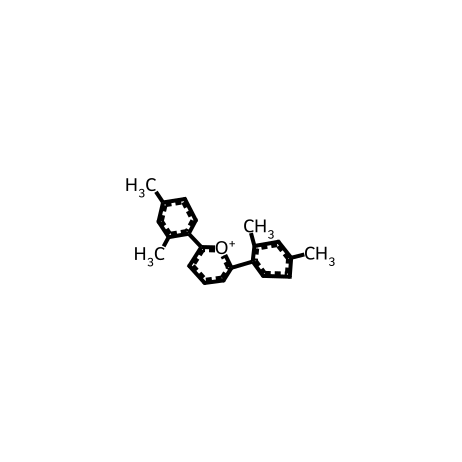 Cc1ccc(-c2cccc(-c3ccc(C)cc3C)[o+]2)c(C)c1